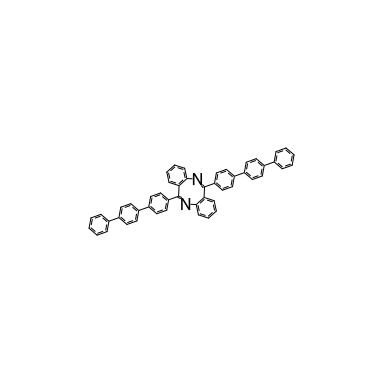 c1ccc(-c2ccc(-c3ccc(/C4=N/c5ccccc5/C(c5ccc(-c6ccc(-c7ccccc7)cc6)cc5)=N\c5ccccc54)cc3)cc2)cc1